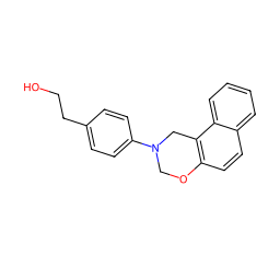 OCCc1ccc(N2COc3ccc4ccccc4c3C2)cc1